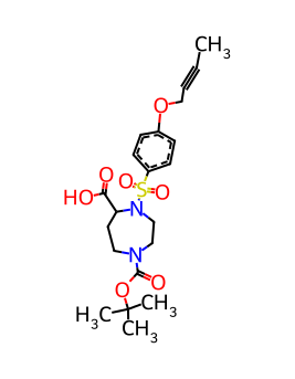 CC#CCOc1ccc(S(=O)(=O)N2CCN(C(=O)OC(C)(C)C)CCC2C(=O)O)cc1